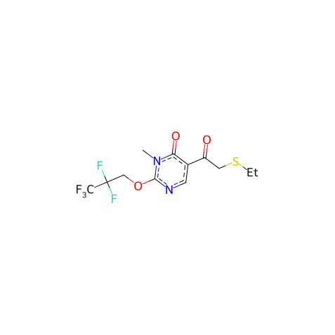 CCSCC(=O)c1cnc(OCC(F)(F)C(F)(F)F)n(C)c1=O